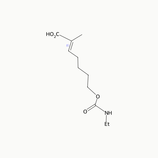 CCNC(=O)OCCCC/C=C(\C)C(=O)O